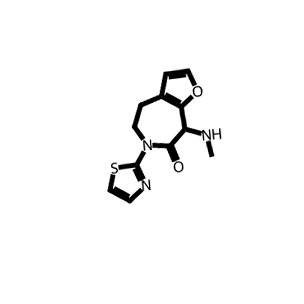 CNC1C(=O)N(c2nccs2)CCc2ccoc21